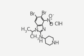 CC(C)n1c(NC2CCNCC2)nc2c([N+](=O)[O-])c(Br)c(Br)cc21.Cl